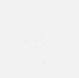 CCCN1CCC[C@H]1COc1nc2c(c(N3CCN(C(=O)OCc4ccccc4)CC3)n1)CCN(c1cc(C)cc3ccccc13)C2